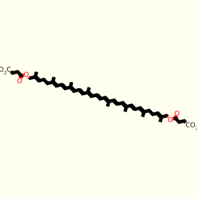 CC(/C=C/C=C(C)/C=C/C=C(\C)CC/C=C(\C)COC(=O)CCC(=O)O)=C\C=C\C=C(C)\C=C\C=C(C)\C=C\C=C(/C)CC/C=C(\C)COC(=O)CCC(=O)O